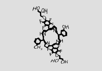 Cc1cccc(-c2c3nc(c(-c4c(F)c(F)c(OCC(O)CO)c(F)c4F)c4ccc([nH]4)c(-c4cccc(O)c4)c4nc(c(-c5c(F)c(F)c(OCC(O)CO)c(F)c5F)c5ccc2[nH]5)C=C4)CC3)c1